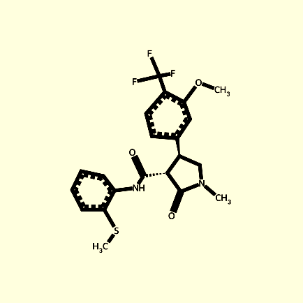 COc1cc([C@H]2CN(C)C(=O)[C@@H]2C(=O)Nc2ccccc2SC)ccc1C(F)(F)F